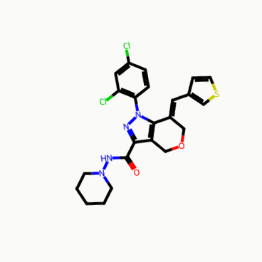 O=C(NN1CCCCC1)c1nn(-c2ccc(Cl)cc2Cl)c2c1COC/C2=C\c1ccsc1